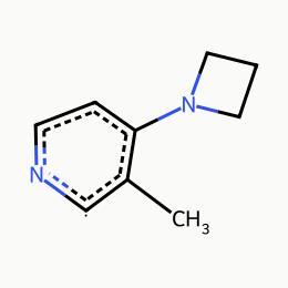 Cc1[c]nccc1N1CCC1